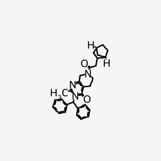 Cc1nc2c(c(=O)n1C(c1ccccc1)c1ccccc1)CCN(C(=O)CC1C[C@@H]3CC[C@H]1C3)C2